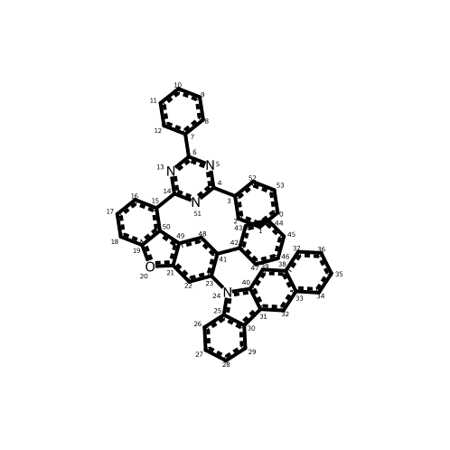 c1ccc(-c2nc(-c3ccccc3)nc(-c3cccc4oc5cc(-n6c7ccccc7c7cc8ccccc8cc76)c(-c6ccccc6)cc5c34)n2)cc1